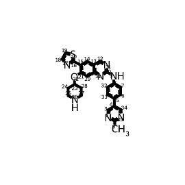 Cc1ncc(-c2ccc(Nc3ncc4cc(-c5nccs5)c(OC5CCNCC5)cc4n3)cc2)cn1